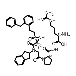 C[C@@]1(C(=O)N(CC(=O)N2CCC[C@H]2C(=O)O)C2Cc3ccccc3C2)NP1(=O)CCc1ccccc1Cc1ccccc1.N=C(N)NCCC[C@H](N)C(=O)O